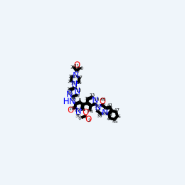 CC(=O)OCc1c(-c2cc(Nc3cnc(N4CCN(C5COC5)CC4)cn3)c(=O)n(C)c2)ccnc1N1CCn2c(cc3c2CCCC3)C1=O